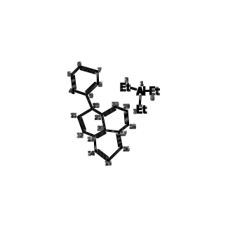 C[CH2][Al]([CH2]C)[CH2]C.[c]1ccccc1C1C=Cc2cccc3cccc1c23